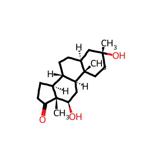 C[C@@]1(O)CC[C@@]2(C)[C@@H](CC[C@@H]3[C@@H]2C[C@@H](O)[C@]2(C)C(=O)CC[C@@H]32)C1